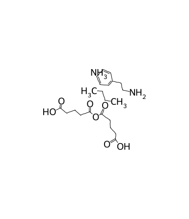 CCCC.N.NCCc1ccccc1.O=C(O)CCCC(=O)OC(=O)CCCC(=O)O